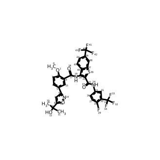 COc1ccc(-c2cc(C(C)(C)O)on2)cc1C(=O)Nc1c(C(=O)Nc2ccc(F)c(C(F)(F)F)c2)sc2cc(C(F)(F)F)ccc12